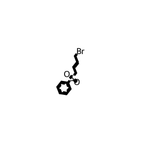 O=S(=O)(C/C=C/CBr)c1ccccc1